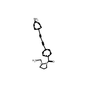 NC[C@@H]1CCCN1C(=O)c1ccc(C#CC#Cc2ccc(N)cc2)cc1